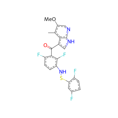 COc1cnc2[nH]cc(C(=O)c3c(F)ccc(NSc4cc(F)ccc4F)c3F)c2c1C